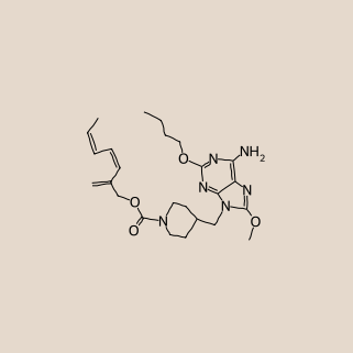 C=C(/C=C\C=C/C)COC(=O)N1CCC(Cn2c(OC)nc3c(N)nc(OCCCC)nc32)CC1